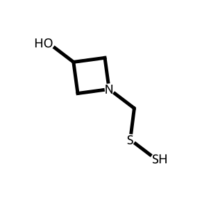 OC1CN(CSS)C1